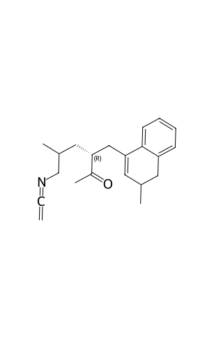 C=C=NCC(C)C[C@H](CC1=CC(C)Cc2ccccc21)C(C)=O